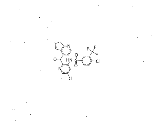 O=C(c1ccnc2c1C=CC2)c1ncc(Cl)cc1NS(=O)(=O)c1ccc(Cl)c(C(F)(F)F)c1